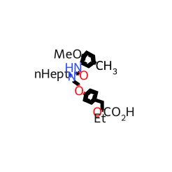 CCCCCCCN(CCOc1ccc(CC(OCC)C(=O)O)cc1)C(=O)Nc1cc(C)ccc1OC